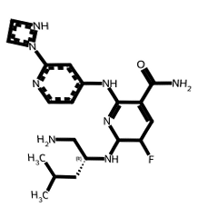 CC(C)C[C@H](CN)NC1N=C(Nc2ccnc(-n3cc[nH]3)c2)C(C(N)=O)=CC1F